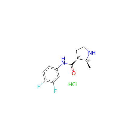 C[C@@H]1NCC[C@@H]1C(=O)Nc1ccc(F)c(F)c1.Cl